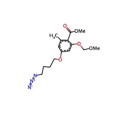 COCOc1cc(OCCCCN=[N+]=[N-])cc(C)c1C(=O)OC